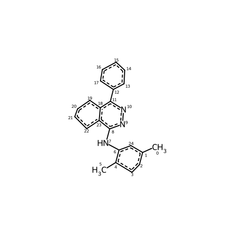 Cc1ccc(C)c(Nc2nnc(-c3ccccc3)c3ccccc23)c1